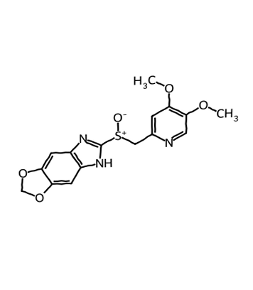 COc1cnc(C[S+]([O-])c2nc3cc4c(cc3[nH]2)OCO4)cc1OC